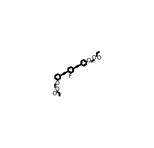 C=CC(=O)O/C=C\Oc1ccc(C#Cc2ccc(C#Cc3cccc(O/C=C\OC(=O)C=C)c3)c(F)c2)cc1